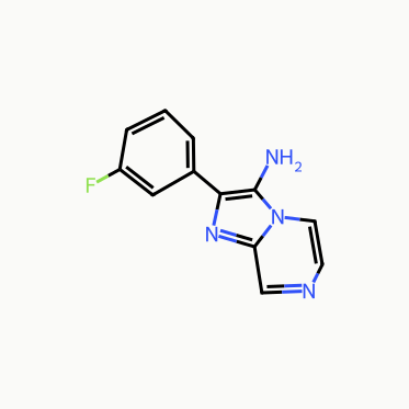 Nc1c(-c2cccc(F)c2)nc2cnccn12